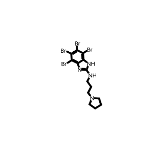 Brc1c(Br)c(Br)c2[nH]c(NCCCN3CCCC3)nc2c1Br